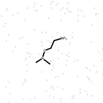 CN(C)OCCN